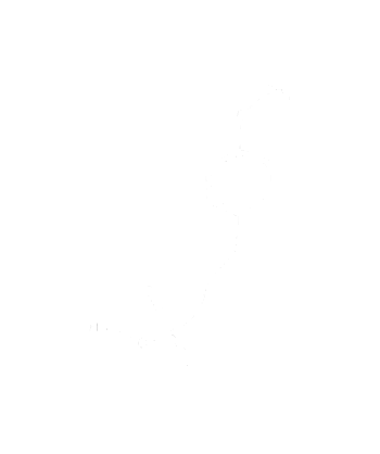 COc1ccc(CCCS(=O)(=O)OC)cc1